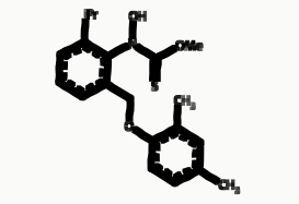 COC(=S)N(O)c1c(COc2ccc(C)cc2C)cccc1C(C)C